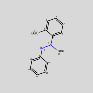 CC(C)COc1ccccc1N(Nc1ccccc1)OCC(C)C